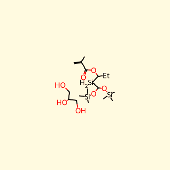 C=C(C)C(=O)OC(CC)[SiH2]C(O[Si](C)(C)C)O[Si](C)(C)C.OCC(O)CO